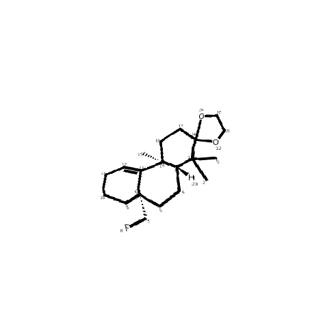 CC1(C)[C@@H]2CC[C@@]3(CF)CCCC=C3[C@@]2(C)CCC12OCCO2